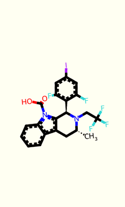 C[C@@H]1Cc2c(n(C(=O)O)c3ccccc23)[C@@H](c2c(F)cc(I)cc2F)N1CC(F)(F)F